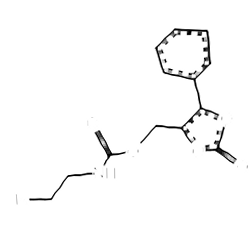 O=C(NCCS)OCc1oc(=O)oc1-c1ccccc1